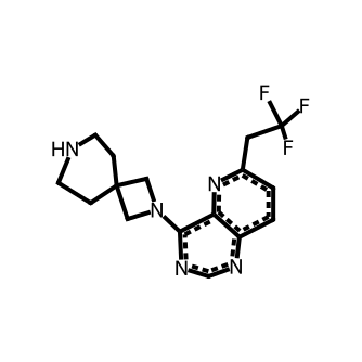 FC(F)(F)Cc1ccc2ncnc(N3CC4(CCNCC4)C3)c2n1